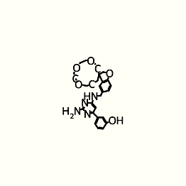 Nc1nc(NCc2ccc3c(c2)C2(CCCOCCOCCOCC2)CO3)cc(-c2cccc(O)c2)n1